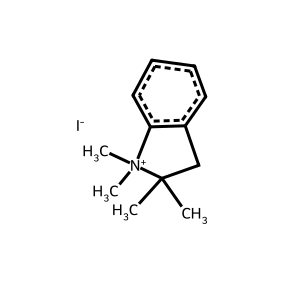 CC1(C)Cc2ccccc2[N+]1(C)C.[I-]